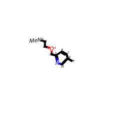 CNCCOCc1ccc(C)cn1